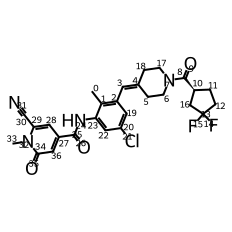 Cc1c(C=C2CCN(C(=O)[C@H]3CCC(F)(F)C3)CC2)cc(Cl)cc1NC(=O)c1cc(C#N)n(C)c(=O)c1